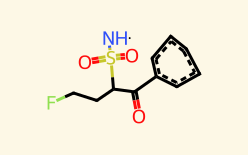 [NH]S(=O)(=O)C(CCF)C(=O)c1ccccc1